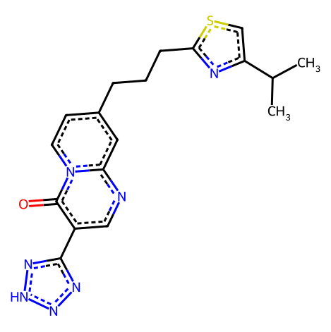 CC(C)c1csc(CCCc2ccn3c(=O)c(-c4nn[nH]n4)cnc3c2)n1